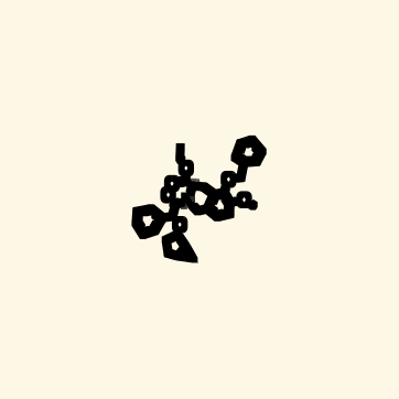 CCOC(=O)[C@@H]1Cc2c(ccc(OC)c2OCc2ccccc2)CN1C(=O)C(OC1CCC2CC21)c1ccccc1